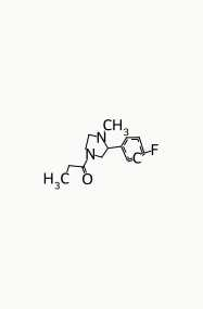 CCC(=O)N1CCN(C)C(c2ccc(F)cc2)C1